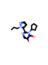 CCCn1nccc1-c1ncc(I)c(=O)n1C1CCCC1